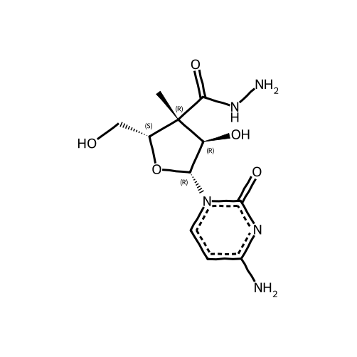 C[C@]1(C(=O)NN)[C@@H](CO)O[C@@H](n2ccc(N)nc2=O)[C@@H]1O